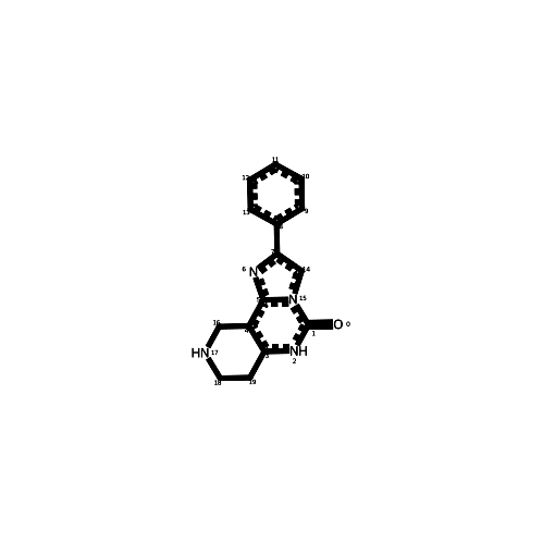 O=c1[nH]c2c(c3nc(-c4ccccc4)cn13)CNCC2